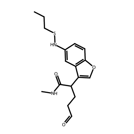 CCCSNc1ccc2occ(C(CCC=O)C(=O)NC)c2c1